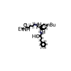 CCCCB1C[C@@H]2C[C@H](C1)[C@H](C/C=C\CCCC(=O)NCC)[C@H]2/C=C/[C@@H](O)CCc1ccccc1